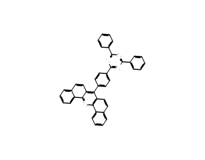 c1ccc(-c2nc(-c3ccccc3)nc(-c3ccc(-c4c5ccc6ccccc6c5nc5c4ccc4ccccc45)cc3)n2)cc1